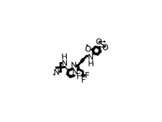 COc1cc(S(C)(=O)=O)ccc1NCC#Cc1nc2c([C@@H]3NCC34CN(C)C4)cccn2c1CC(F)(F)F